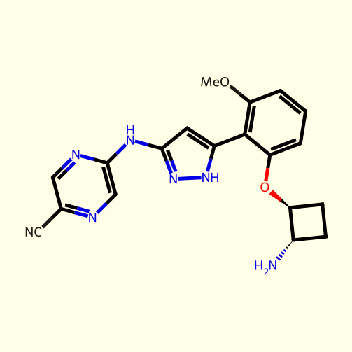 COc1cccc(O[C@H]2CC[C@@H]2N)c1-c1cc(Nc2cnc(C#N)cn2)n[nH]1